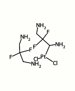 NCC(F)(F)CN.NCC(F)(F)[CH](N)[Pt]([Cl])[Cl]